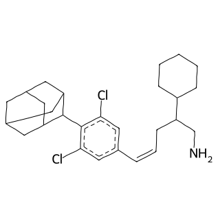 NCC(C/C=C\c1cc(Cl)c(C2C3CC4CC(C3)CC2C4)c(Cl)c1)C1CCCCC1